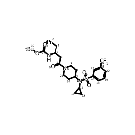 CC(C)C[C@@H](CC(=O)N1CCC(N(C2CC2)S(=O)(=O)c2cccc(C(F)(F)F)c2)CC1)NC(=O)OC(C)(C)C